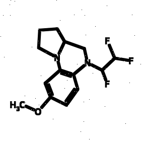 COc1ccc2c(c1)N1CCCC1CN2C(F)C(F)F